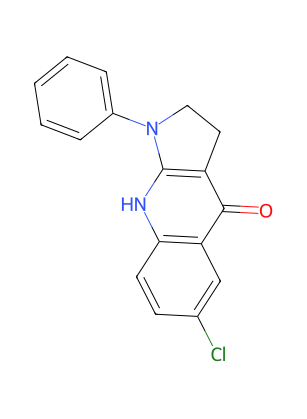 O=c1c2c([nH]c3ccc(Cl)cc13)N(c1ccccc1)CC2